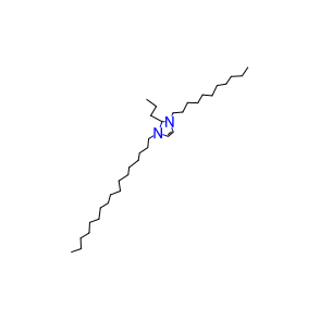 CCCCCCCCCCCCCCCCCN1C=CN(CCCCCCCCCCC)C1CCC